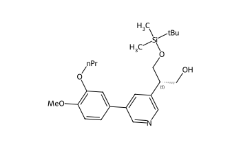 CCCOc1cc(-c2cncc([C@@H](CO)CO[Si](C)(C)C(C)(C)C)c2)ccc1OC